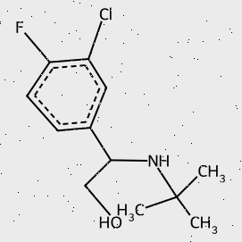 CC(C)(C)NC(CO)c1ccc(F)c(Cl)c1